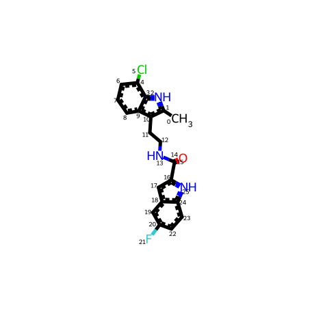 Cc1[nH]c2c(Cl)cccc2c1CCNC(=O)c1cc2cc(F)ccc2[nH]1